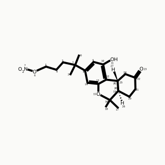 CC(C)(CCCO[N+](=O)[O-])c1cc(O)c2c(c1)OC(C)(C)[C@@H]1CCC(=O)C[C@@H]21